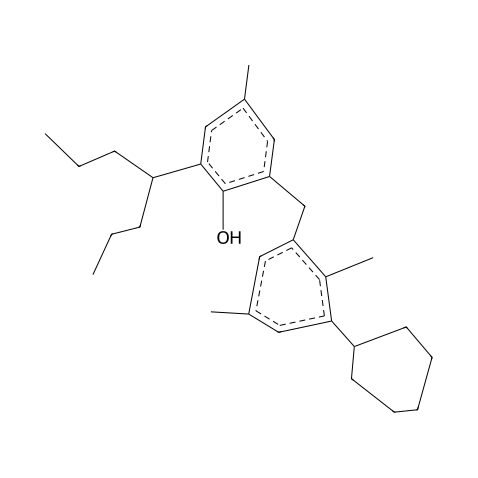 CCCC(CCC)c1cc(C)cc(Cc2cc(C)cc(C3CCCCC3)c2C)c1O